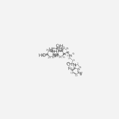 C[C@H](CCC(=O)N1CCc2c(F)ccc(F)c21)[C@H]1CC[C@H]2[C@@H]3[C@H](O)C[C@@H]4C[C@H](O)CC[C@]4(C)[C@H]3CC[C@]12C